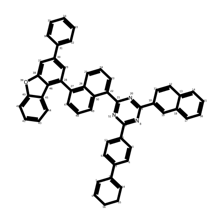 C1=CC(c2ccc(-c3nc(-c4ccc5ccccc5c4)nc(-c4cccc5c(-c6cc(-c7ccccc7)cc7oc8ccccc8c67)cccc45)n3)cc2)=CCC1